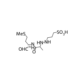 CSCC[C@@H](C=O)NC(=O)C(C)NNCCCS(=O)(=O)O